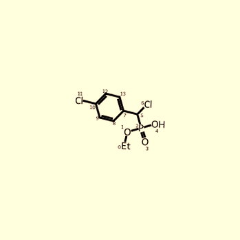 CCOP(=O)(O)C(Cl)c1ccc(Cl)cc1